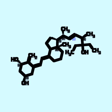 C=C1C(=CC=C2CCC[C@@]3(C)C2CC[C@@H]3[C@H](C)/C=C/[C@@H](C)C(O)(CC)CC)C[C@@H](O)C[C@@H]1O